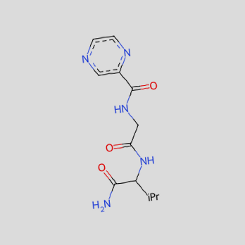 CC(C)C(NC(=O)CNC(=O)c1cnccn1)C(N)=O